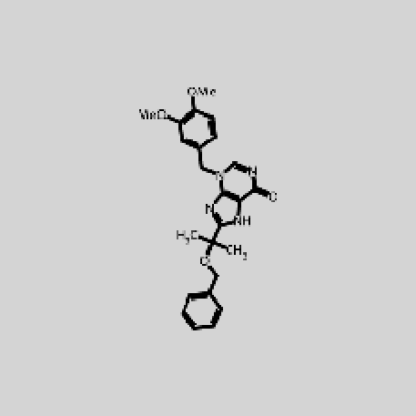 COc1ccc(Cn2cnc(=O)c3[nH]c(C(C)(C)OCc4ccccc4)nc32)cc1OC